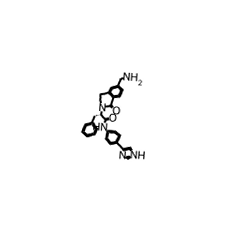 NCc1ccc2c(c1)CCN([C@@H](Cc1ccccc1)C(=O)Nc1ccc(-c3c[nH]cn3)cc1)C2=O